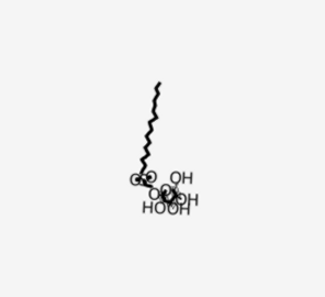 CCCCCCCCCCCCCCCCS(=O)(=O)CCO[C@H]1O[C@H](CO)[C@@H](O)[C@H](O)[C@H]1O